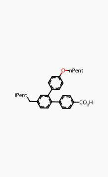 CCCCCOc1ccc(-c2cc(CC(C)CCC)ccc2-c2ccc(C(=O)O)cc2)cc1